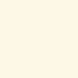 CCC=CC1CCC2c3cc(F)c(-c4ccc(F)c(F)c4)c(F)c3CCC2C1